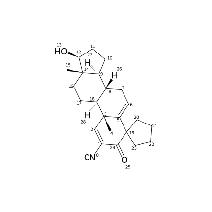 [C-]#[N+]C1=C[C@@]2(C)C(=CC[C@H]3[C@@H]4CC[C@H](O)[C@@]4(C)CC[C@@H]32)C2(CCCC2)C1=O